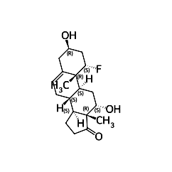 C[C@@]12C(=O)CC[C@H]1[C@@H]1CC=C3C[C@@H](O)C[C@H](F)[C@]3(C)[C@H]1C[C@@H]2O